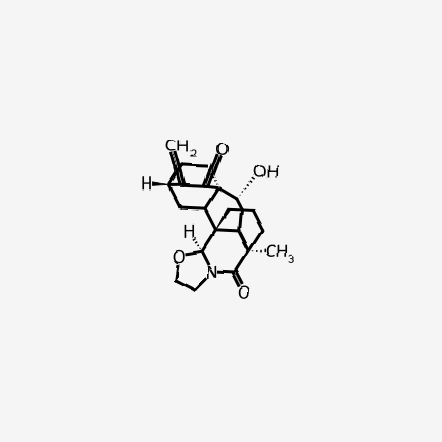 C=C1C(=O)[C@]23CC[C@H]1CC2[C@@]12CCC[C@@](C)(C(=O)N4CCO[C@H]41)C2C[C@H]3O